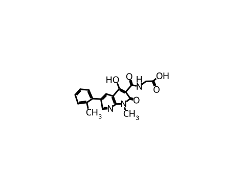 Cc1ccccc1-c1cnc2c(c1)c(O)c(C(=O)NCC(=O)O)c(=O)n2C